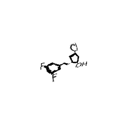 O[C@@H]1C[C@@H](Cl)C[C@H]1/C=C/c1cc(F)cc(F)c1